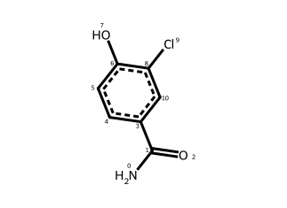 NC(=O)c1ccc(O)c(Cl)c1